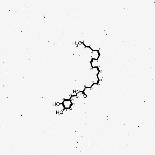 CCCCC/C=C\C/C=C\C/C=C\C/C=C\CCCC(=O)NCCc1ccc(O)c(O)c1